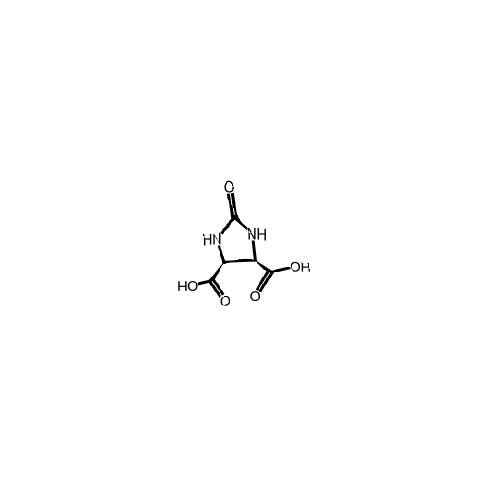 O=C1N[C@H](C(=O)O)[C@H](C(=O)O)N1